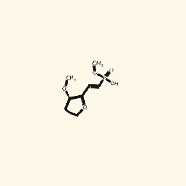 CO[C@@H]1CCOC1/C=C/P(=O)(O)OC